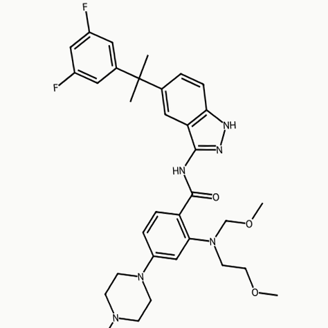 COCCN(COC)c1cc(N2CCN(C)CC2)ccc1C(=O)Nc1n[nH]c2ccc(C(C)(C)c3cc(F)cc(F)c3)cc12